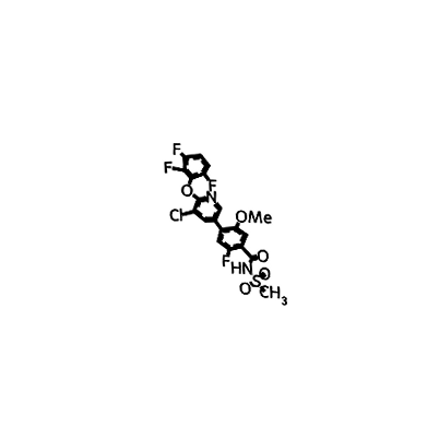 COc1cc(C(=O)NS(C)(=O)=O)c(F)cc1-c1cnc(Oc2c(F)ccc(F)c2F)c(Cl)c1